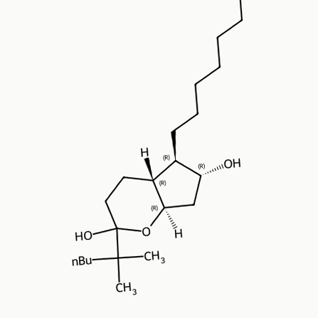 CCCCC(C)(C)C1(O)CC[C@@H]2[C@@H](CCCCCCC(=O)O)[C@H](O)C[C@H]2O1